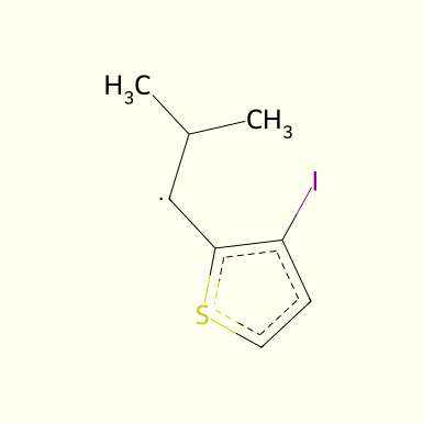 CC(C)[CH]c1sccc1I